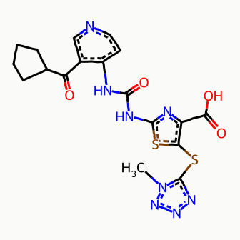 Cn1nnnc1Sc1sc(NC(=O)Nc2ccncc2C(=O)C2CCCC2)nc1C(=O)O